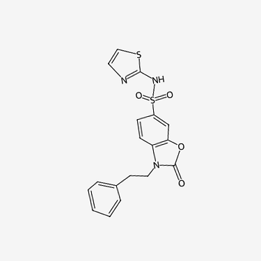 O=c1oc2cc(S(=O)(=O)Nc3nccs3)ccc2n1CCc1ccccc1